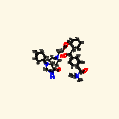 CCN(CC)C(=O)c1ccc(C(O)c2ccccc2OCCN2CCC3(CC2)C(=O)NCN3c2ccccc2)cc1